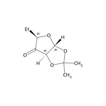 CC[C@H]1O[C@@H]2OC(C)(C)O[C@H]2C1=O